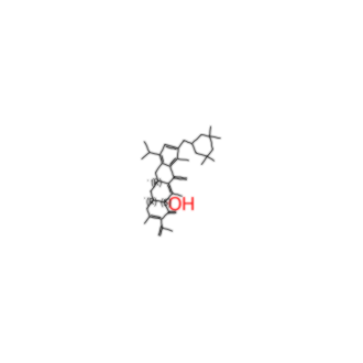 C=C(C)C1=C(C)C[C@@]2(C)C[C@@]3(C)Cc4c(C(C)C)cc(CC5CC(C)(C)CC(C)(C)C5)c(C)c4C(=C)C3=C(C)[C@@]2(O)C1=C